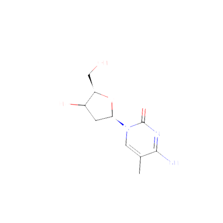 Cc1cn([C@H]2CC(O)[C@@H](CO)O2)c(=O)nc1N